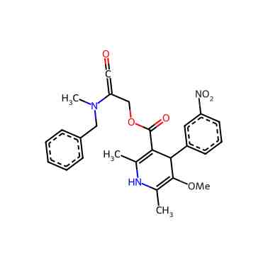 COC1=C(C)NC(C)=C(C(=O)OCC(=C=O)N(C)Cc2ccccc2)C1c1cccc([N+](=O)[O-])c1